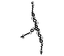 C=CC(=O)OCCCCCCOC1CCC(Sc2nc3cc(OC(=O)C4CCC(C(=O)Oc5ccc(OCCCCCCOOCC)cc5)CC4)ccc3c3ccc(OC(=O)C4CCC(C(=O)Oc5ccc(OCCCCCCOC6CO6)cc5)CC4)cc23)CC1